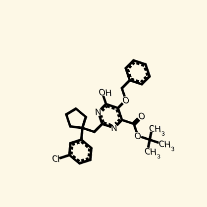 CC(C)(C)OC(=O)c1nc(CC2(c3cccc(Cl)c3)CCCC2)nc(O)c1OCc1ccccc1